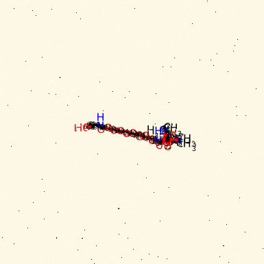 CN(C)c1ccc2c(c1)Oc1cc(N(C)C)ccc1C21OC(=O)c2cc(C(=O)NCCOCCOCCOCCOCCOCCOCCOCCOCCC(=O)NCCc3ccc(O)cc3)ccc21